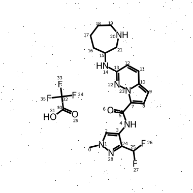 Cn1cc(NC(=O)c2ccc3ccc(NC4CCCCNC4)nn23)c(C(F)F)n1.O=C(O)C(F)(F)F